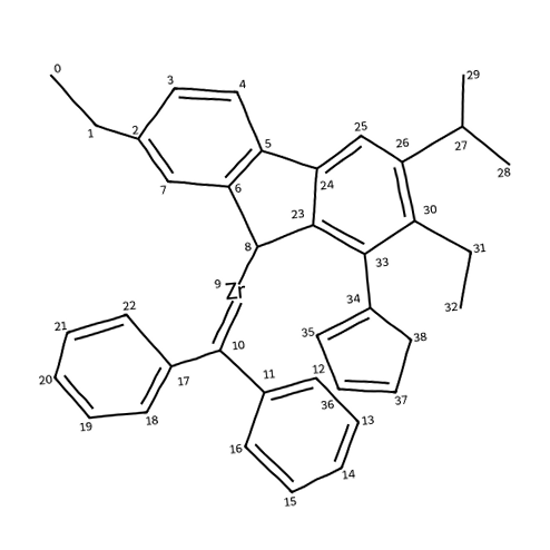 CCc1ccc2c(c1)[CH]([Zr]=[C](c1ccccc1)c1ccccc1)c1c-2cc(C(C)C)c(CC)c1C1=CC=CC1